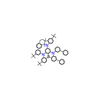 CC(C)(C)c1cccc(N2c3cc(C(C)(C)C)ccc3B3c4ccc(-c5ccccc5)cc4N(c4cccc(-c5ccccc5)c4)c4cc(N5c6ccc(C(C)(C)C)cc6C6(C)CCc7ccccc7C56C)cc2c43)c1